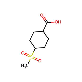 CS(=O)(=O)C1CCC(C(=O)O)CC1